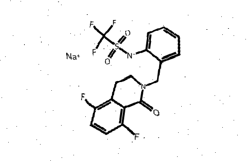 O=C1c2c(F)ccc(F)c2CCN1Cc1ccccc1[N-]S(=O)(=O)C(F)(F)F.[Na+]